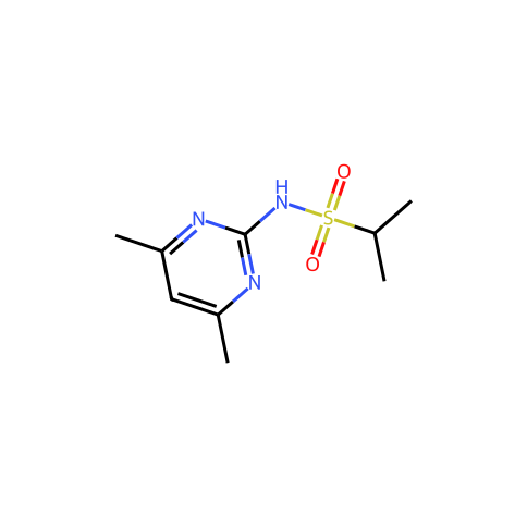 Cc1cc(C)nc(NS(=O)(=O)C(C)C)n1